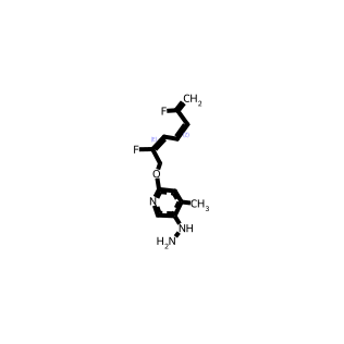 C=C(F)/C=C\C=C(\F)COc1cc(C)c(NN)cn1